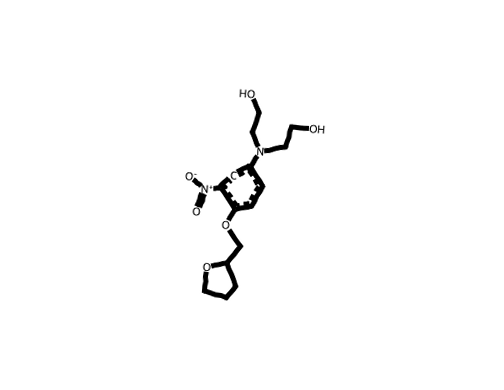 O=[N+]([O-])c1cc(N(CCO)CCO)ccc1OCC1CCCO1